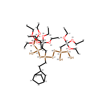 CCO[Si](CCCS(CCC1CC2CCC1C2)(SSS(S)(C[Si](OCC)(OCC)OCC)SS)SS(S)(C[Si](OCC)(OCC)OCC)SS)(OCC)OCC